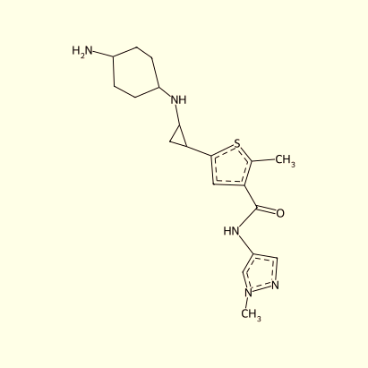 Cc1sc(C2CC2NC2CCC(N)CC2)cc1C(=O)Nc1cnn(C)c1